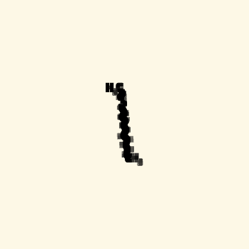 CC[CH]SCCCCCCCCCCCC